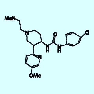 CNCCN1CCC(NC(=O)Nc2ccc(Cl)cc2)C(c2ccc(OC)cn2)C1